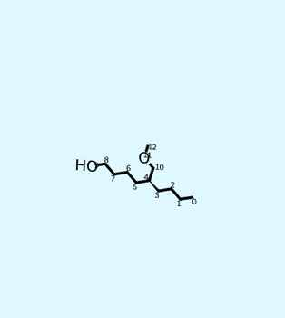 CCCC[C@@H](CCCCO)COC